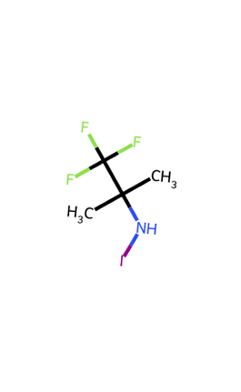 CC(C)(NI)C(F)(F)F